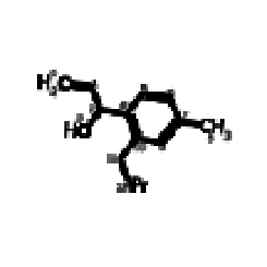 C=CC(O)c1ccc(C)cc1CC(C)C